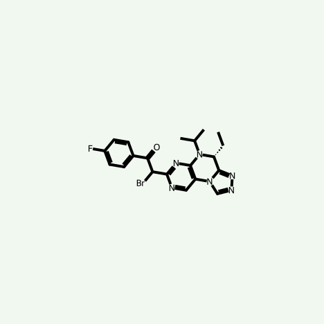 CC[C@@H]1c2nncn2-c2cnc(C(Br)C(=O)c3ccc(F)cc3)nc2N1C(C)C